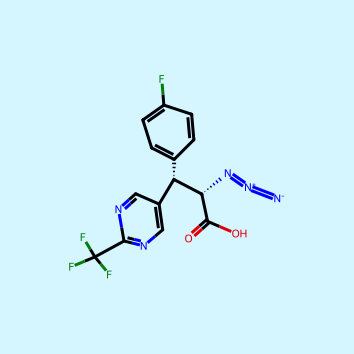 [N-]=[N+]=N[C@H](C(=O)O)[C@@H](c1ccc(F)cc1)c1cnc(C(F)(F)F)nc1